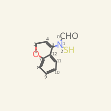 O=CN(S)C1=CCOc2ccccc21